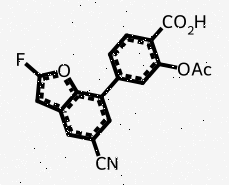 CC(=O)Oc1cc(-c2cc(C#N)cc3cc(F)oc23)ccc1C(=O)O